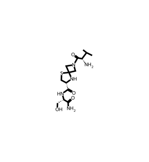 CC(C)[C@H](N)C(=O)N1CC2(C1)N[C@H](C(=O)N[C@@H](CO)C(N)=O)CS2